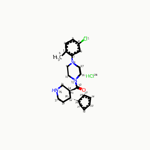 Cc1ccc(Cl)cc1N1CCN(C(=O)[C@@H]2CNCC[C@H]2c2ccccc2)CC1.Cl